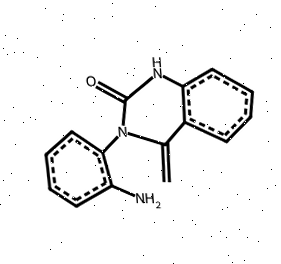 C=C1c2ccccc2NC(=O)N1c1ccccc1N